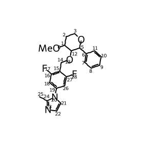 COC1CCOC(c2ccccc2)C1OCc1c(F)cc(-n2ccnc2C)cc1F